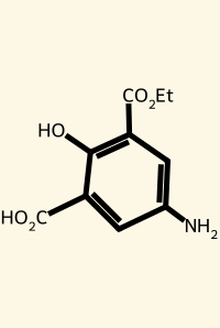 CCOC(=O)c1cc(N)cc(C(=O)O)c1O